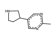 Cc1ncc(C2CCNC2)cn1